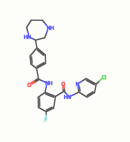 O=C(Nc1ccc(F)cc1C(=O)Nc1ccc(Cl)cn1)c1ccc(C2CNCCCN2)cc1